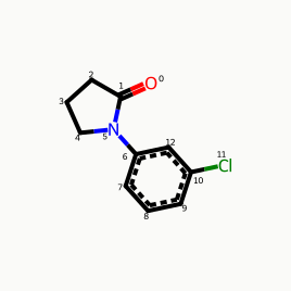 O=C1CCCN1c1cccc(Cl)c1